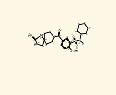 COc1ccc(C(=O)N2CCC3(CC2)CNC(=N)N3)cc1S(=O)(=O)N(C)C1CCCCC1